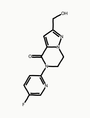 O=C1c2cc(CO)nn2CCN1c1ccc(F)cn1